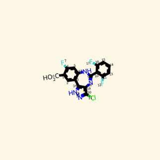 O=C(O)c1cc2c(cc1F)NC(c1c(F)cccc1F)=Nc1c(Cl)n[nH]c1-2